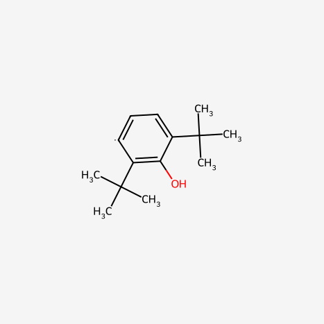 CC(C)(C)c1[c]ccc(C(C)(C)C)c1O